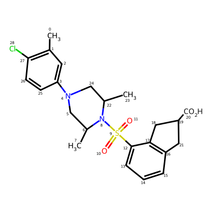 Cc1cc(N2CC(C)N(S(=O)(=O)c3cccc4c3CC(C(=O)O)C4)C(C)C2)ccc1Cl